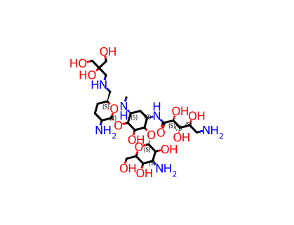 CN[C@H]1C[C@@H](NC(=O)[C@@H](O)[C@@H](O)[C@@H](O)CN)C(O[C@H]2OC(CO)C(O)[C@H](N)C2O)C(O)C1O[C@H]1O[C@H](CNCC(O)(CO)CO)CCC1N